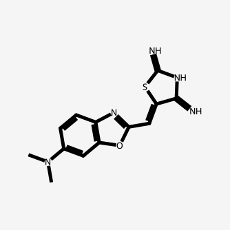 CN(C)c1ccc2nc(/C=C3\SC(=N)NC3=N)oc2c1